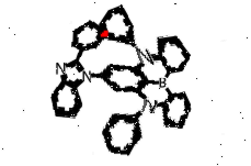 c1ccc(-c2nc3ccccc3n2-c2cc3c4c(c2)N(c2ccccc2)c2ccccc2B4c2ccccc2N3c2ccccc2)cc1